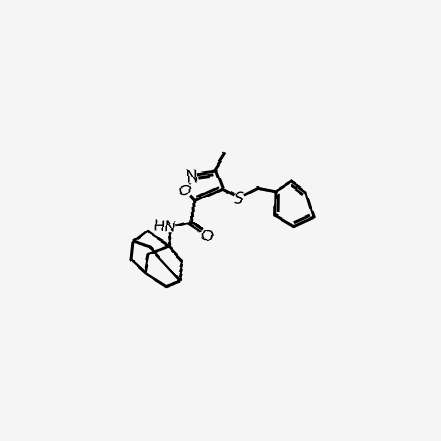 Cc1noc(C(=O)NC23CC4CC(CC(C4)C2)C3)c1SCc1ccccc1